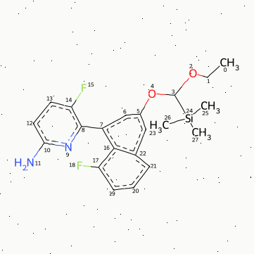 CCOC(Oc1cc(-c2nc(N)ccc2F)c2c(F)cccc2c1)[Si](C)(C)C